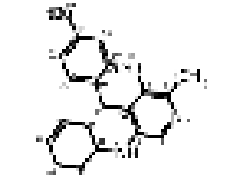 COc1c(C)ncc(NC2CC=CCC2)c1Cc1ccc(C(C)(C)C)cc1